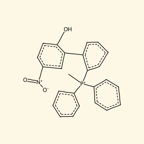 C[P+](c1ccccc1)(c1ccccc1)c1ccccc1-c1cc([N+](=O)[O-])ccc1O